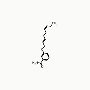 CC/C=C\CC/C=C/COc1cccc(C(N)=O)c1